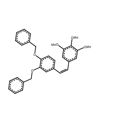 COc1cc(/C=C\c2ccc(OCc3ccccc3)c(OCc3ccccc3)c2)cc(OC)c1OC